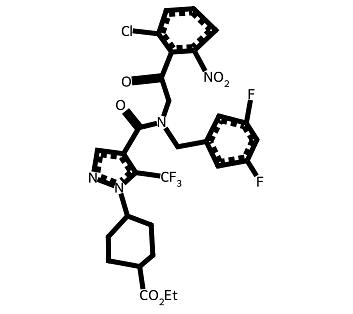 CCOC(=O)C1CCC(n2ncc(C(=O)N(CC(=O)c3c(Cl)cccc3[N+](=O)[O-])Cc3cc(F)cc(F)c3)c2C(F)(F)F)CC1